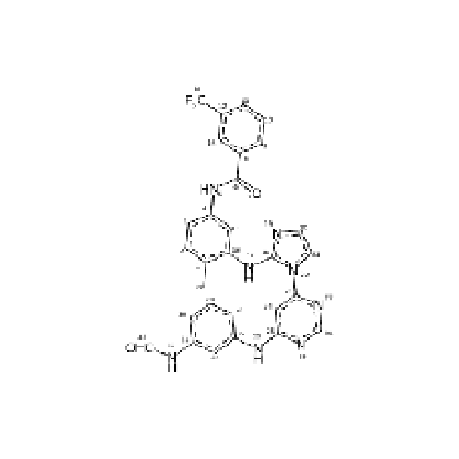 Cc1ccc(NC(=O)c2cccc(C(F)(F)F)c2)cc1Nc1nccn1-c1cc(Nc2cccc(NC=O)c2)ncn1